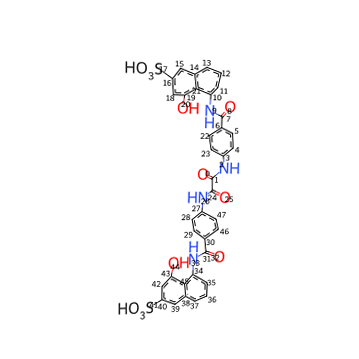 O=C(Nc1ccc(C(=O)Nc2cccc3cc(S(=O)(=O)O)cc(O)c23)cc1)C(=O)Nc1ccc(C(=O)Nc2cccc3cc(S(=O)(=O)O)cc(O)c23)cc1